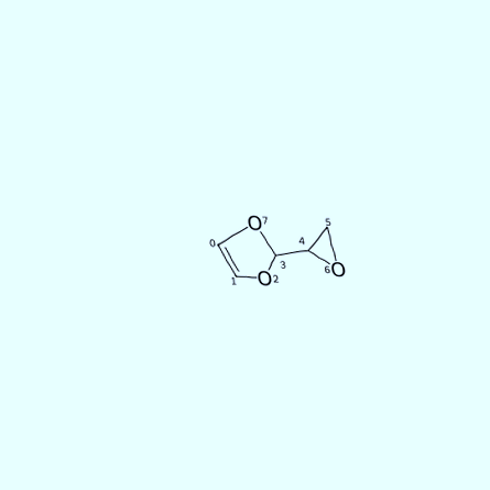 C1=COC(C2CO2)O1